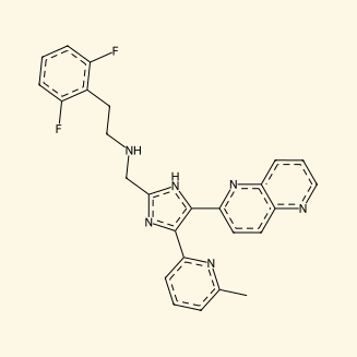 Cc1cccc(-c2nc(CNCCc3c(F)cccc3F)[nH]c2-c2ccc3ncccc3n2)n1